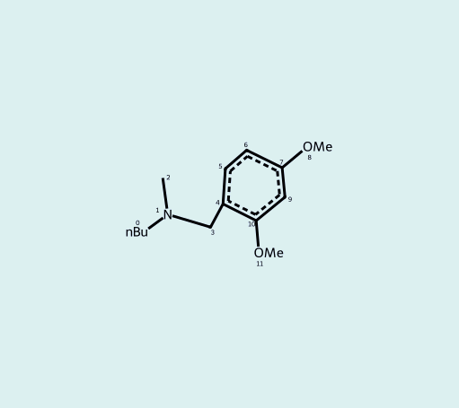 CCCCN(C)Cc1ccc(OC)cc1OC